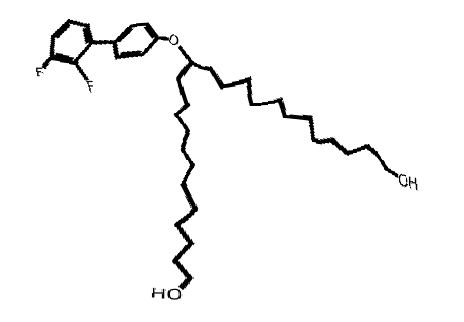 OCCCCCCCCCCCCC(CCCCCCCCCCCCO)Oc1ccc(-c2cccc(F)c2F)cc1